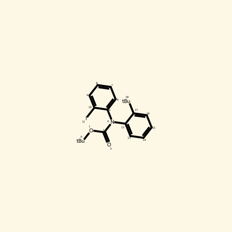 CC(C)(C)OC(=O)N(c1ccccc1I)c1ccccc1C(C)(C)C